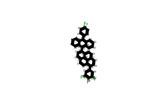 Fc1ccc(-c2c3ccccc3c(-c3ccc4ccc5c(-c6cc(F)c(F)c(F)c6)ccc6ccc3c4c65)c3ccccc23)cc1